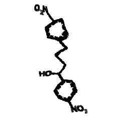 O=[N+]([O-])c1ccc(CCCC(O)c2ccc([N+](=O)[O-])cc2)cc1